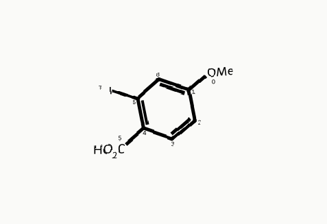 COc1ccc(C(=O)O)c(I)c1